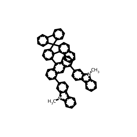 Cn1c2ccccc2c2ccc(-c3cccc4c(-c5cccc6c5-c5c(ccc7ccccc57)C65c6ccccc6-c6ccccc65)c5cccc(-c6ccc7c8ccccc8n(C)c7c6)c5cc34)cc21